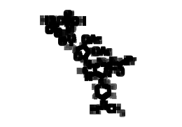 CCN(C)c1cc[n+](-c2nc(NC(=O)C(C)C)nc3c2ncn3[C@@H]2O[C@H](COP3(=O)OP(=O)(O)OP(=O)(O)O3)C(OC(C)=O)[C@@H]2OC(C)=O)cc1